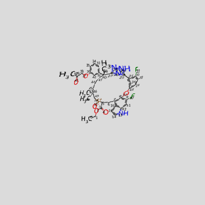 CCOC(=O)C1Cc2c(c(F)cc3[nH]ccc23)Oc2ccc(F)c(c2)-c2nc(n[nH]2)C(C)(c2cccc(OCC(C)=O)c2)CCCC(C)(C)C[S+]1[O-]